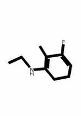 CCNC1=C(C)C(F)=CC[CH]1